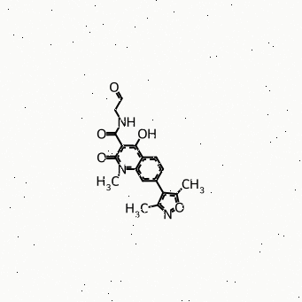 Cc1noc(C)c1-c1ccc2c(O)c(C(=O)NCC=O)c(=O)n(C)c2c1